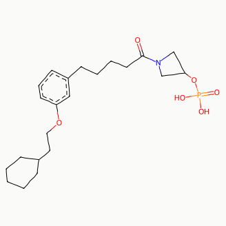 O=C(CCCCc1cccc(OCCC2CCCCC2)c1)N1CC(OP(=O)(O)O)C1